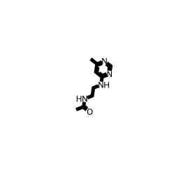 CC(=O)NCCNc1cc(C)ncn1